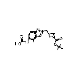 Cc1c(OC(=O)O)ccc2nn(CC3CN(C(=O)OC(C)(C)C)C3)cc12